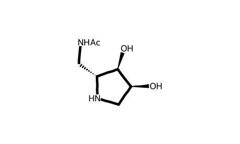 CC(=O)NC[C@H]1NC[C@H](O)[C@@H]1O